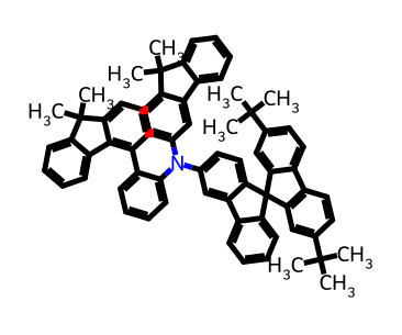 CC(C)(C)c1ccc2c(c1)C1(c3ccccc3-c3cc(N(c4ccc5c(c4)-c4ccccc4C5(C)C)c4ccccc4-c4cccc5c4-c4ccccc4C5(C)C)ccc31)c1cc(C(C)(C)C)ccc1-2